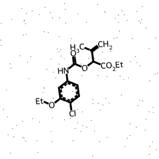 C=C(C)C(OC(=O)Nc1ccc(Cl)c(OCC)c1)C(=O)OCC